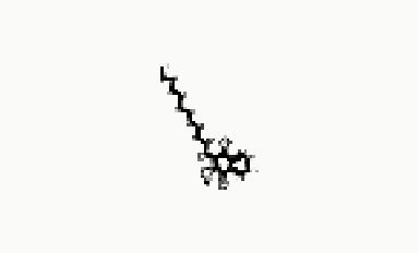 CCCCCCCCCCCCC1=C(OC)C(=O)c2ccccc2C1=O